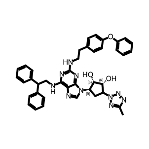 Cc1nnn(C2C[C@@H](n3cnc4c(NCC(c5ccccc5)c5ccccc5)nc(NCCc5ccc(Oc6ccccc6)cc5)nc43)[C@H](O)[C@@H]2O)n1